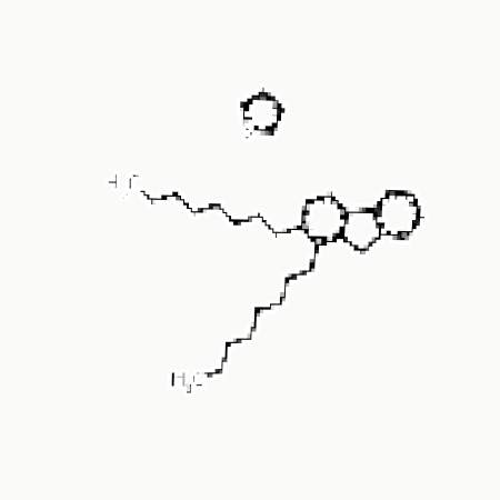 CCCCCCCCc1ccc2c(c1CCCCCCCC)Cc1ccccc1-2.c1ccsc1